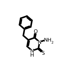 Nn1c(=S)[nH]cc(Cc2ccccc2)c1=O